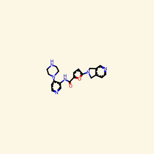 O=C(Nc1cnccc1N1CCNCC1)c1ccc(N2Cc3ccncc3C2)o1